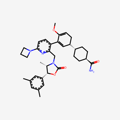 COC1=CCC([C@H]2CC[C@H](C(N)=O)CC2)C=C1c1ccc(N2CCC2)nc1CN1C(=O)O[C@H](c2cc(C)cc(C)c2)[C@@H]1C